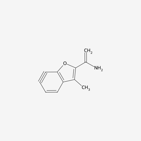 C=C(N)c1oc2c#cccc2c1C